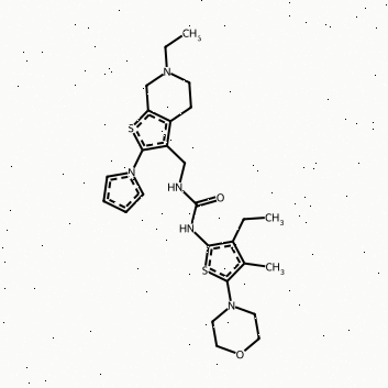 CCc1c(NC(=O)NCc2c(-n3cccc3)sc3c2CCN(CC)C3)sc(N2CCOCC2)c1C